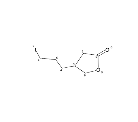 O=C1CC(CCCI)CO1